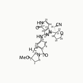 CO[C@@H]1CCN(C(=O)c2ccc(Nc3nn([C@]4(CC#N)CCCOC4)c4cc[nH]c(=O)c34)cc2C)C1